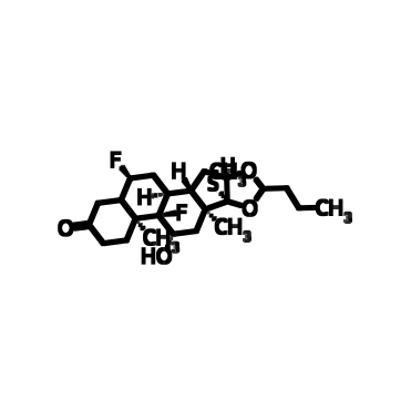 CCCC1O[C@@H]2C[C@H]3[C@@H]4C[C@H](F)C5CC(=O)CC[C@]5(C)[C@@]4(F)[C@@H](O)C[C@]3(C)[C@]2(SC)O1